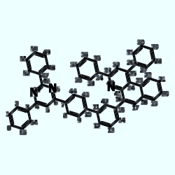 c1ccc(-c2cc(-c3ccc(-c4cccc(-c5cc6ccccc6c6c(-c7ccccc7)cc(-c7ccccc7)nc56)c4)cc3)nc(-c3ccccc3)n2)cc1